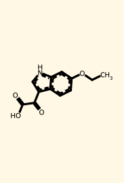 CCOc1ccc2c(C(=O)C(=O)O)c[nH]c2c1